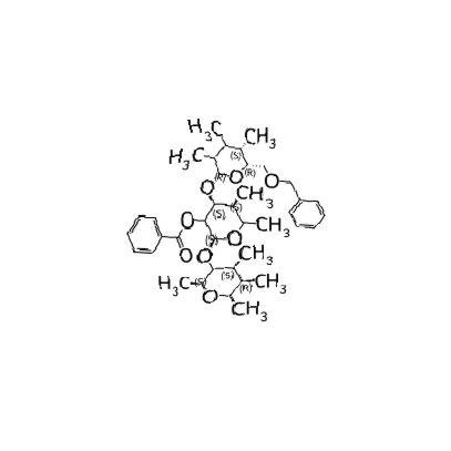 CC1C(C)[C@H](C)[C@H](COCc2ccccc2)O[C@@H]1O[C@@H]1C(OC(=O)c2ccccc2)[C@H](OC2[C@H](C)OC(C)[C@H](C)[C@@H]2C)OC(C)[C@@H]1C